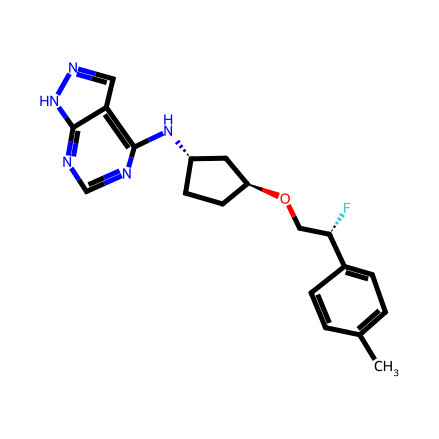 Cc1ccc([C@@H](F)CO[C@H]2CC[C@H](Nc3ncnc4[nH]ncc34)C2)cc1